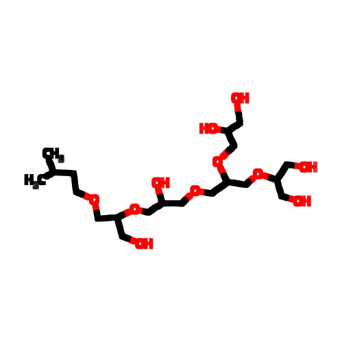 CC(C)CCOCC(CO)OCC(O)COCC(COC(CO)CO)OCC(O)CO